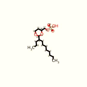 CCCCCCCCC(CCC)C1OCCC(COS(=O)(=O)O)O1